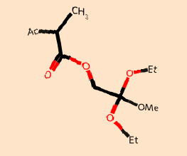 CCOC(COC(=O)C(C)C(C)=O)(OC)OCC